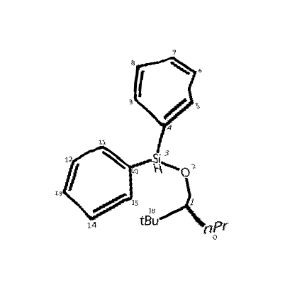 CCCC(O[SiH](c1ccccc1)c1ccccc1)C(C)(C)C